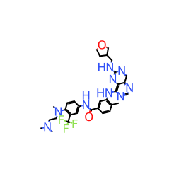 Cc1ccc(C(=O)Nc2ccc(N(C)CCN(C)C)c(C(F)(F)F)c2)cc1Nc1ncnc2cnc(NCC3CCOC3)nc12